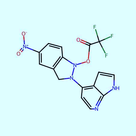 O=C(ON1c2ccc([N+](=O)[O-])cc2CN1c1ccnc2[nH]ccc12)C(F)(F)F